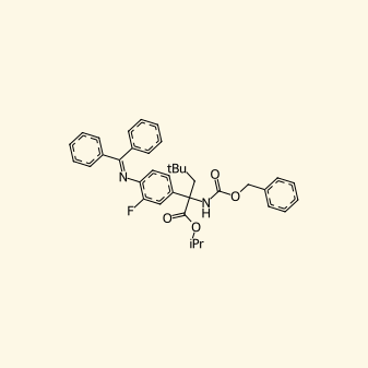 CC(C)OC(=O)C(CC(C)(C)C)(NC(=O)OCc1ccccc1)c1ccc(N=C(c2ccccc2)c2ccccc2)c(F)c1